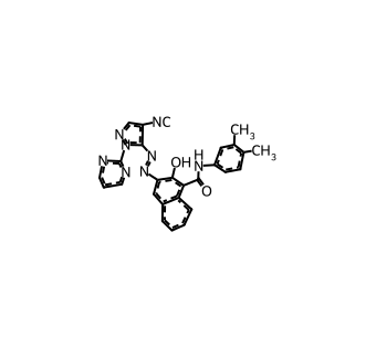 [C-]#[N+]c1cnn(-c2ncccn2)c1/N=N/c1cc2ccccc2c(C(=O)Nc2ccc(C)c(C)c2)c1O